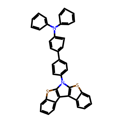 c1ccc(N(c2ccccc2)c2ccc(-c3ccc(-n4c5sc6ccccc6c5c5c6ccccc6sc54)cc3)cc2)cc1